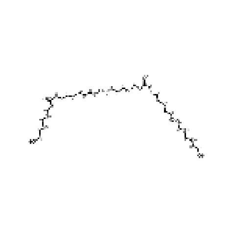 O=C(CSCCSCCOOCSCSCCO)OCSCCSCOOCCSCCSCC(=O)OCSCSCCO